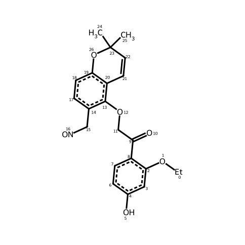 CCOc1cc(O)ccc1C(=O)COc1c(CN=O)ccc2c1C=CC(C)(C)O2